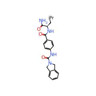 CC(C)C[C@@H](NC(=O)c1ccc(NC(=O)N2Cc3ccccc3C2)cc1)C(N)=O